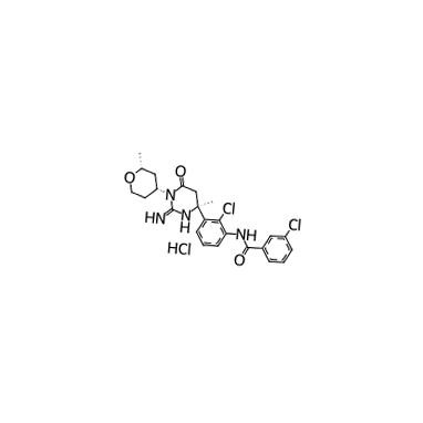 C[C@@H]1C[C@H](N2C(=N)N[C@](C)(c3cccc(NC(=O)c4cccc(Cl)c4)c3Cl)CC2=O)CCO1.Cl